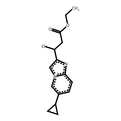 CCOC(=O)CC(Cl)c1cn2cc(C3CC3)ccc2n1